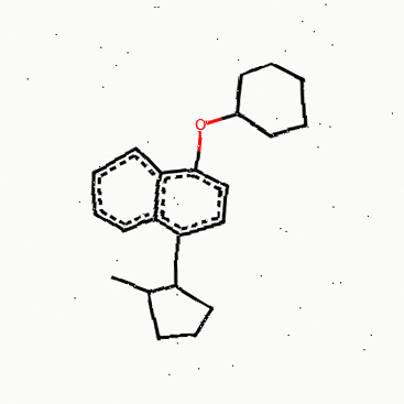 CC1CCCC1c1ccc(OC2CCCCC2)c2ccccc12